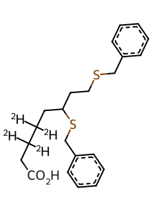 [2H]C([2H])(CC(=O)O)C([2H])([2H])CC(CCSCc1ccccc1)SCc1ccccc1